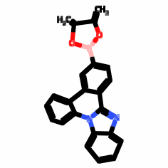 C=C1OB(c2ccc3c(c2)c2ccccc2n2c4ccccc4nc32)OC1=C